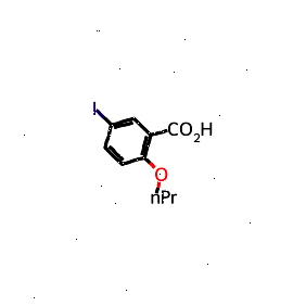 CCCOc1ccc(I)cc1C(=O)O